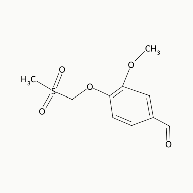 COc1cc(C=O)ccc1OCS(C)(=O)=O